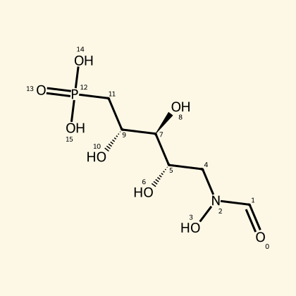 O=CN(O)C[C@H](O)[C@H](O)[C@H](O)CP(=O)(O)O